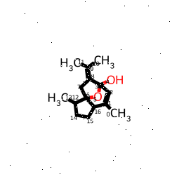 CC1=CC2(O)OC3(CC2=C(C)C)C(C)CCC13